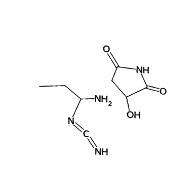 CCC(N)N=C=N.O=C1CC(O)C(=O)N1